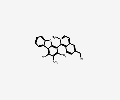 Cc1c(C)c(C#N)c2c(oc3ccccc32)c1-c1c2ccc(CC(C)C)cc2cc[n+]1C